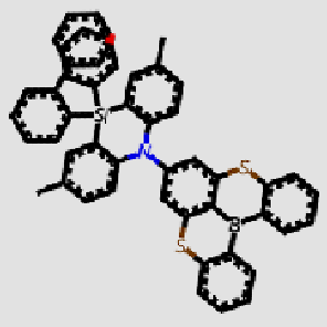 Cc1ccc2c(c1)[Si](c1ccccc1)(c1ccccc1-c1ccccc1)c1cc(C)ccc1N2c1cc2c3c(c1)Sc1ccccc1B3c1ccccc1S2